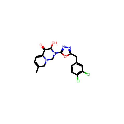 CC1=CC=C2C(=O)C(O)N(c3nnc(Cc4ccc(Cl)c(Cl)c4)o3)CN2C1